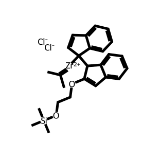 C[C](C)=[Zr+2][C]1(C2C(OCCO[Si](C)(C)C)=Cc3ccccc32)C=Cc2ccccc21.[Cl-].[Cl-]